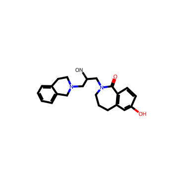 O=NC(CN1CCc2ccccc2C1)CN1CCCc2cc(O)ccc2C1=O